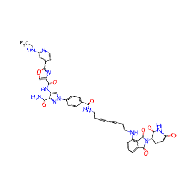 NC(=O)c1nn(-c2ccc(C(=O)NCCC#CC#CCCNc3cccc4c3C(=O)N(C3CCC(=O)NC3=O)C4=O)cc2)cc1NC(=O)c1coc(-c2ccnc(NCC(F)(F)F)c2)n1